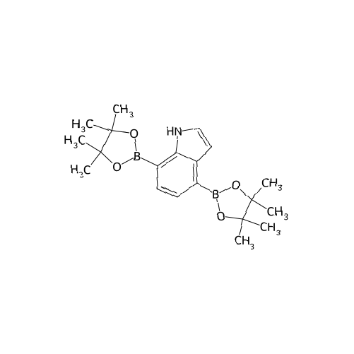 CC1(C)OB(c2ccc(B3OC(C)(C)C(C)(C)O3)c3[nH]ccc23)OC1(C)C